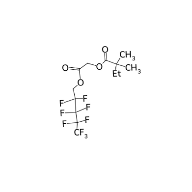 CCC(C)(C)C(=O)OCC(=O)OCC(F)(F)C(F)(F)C(F)(F)C(F)(F)F